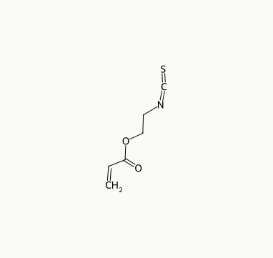 C=CC(=O)OCCN=C=S